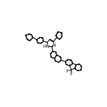 FC1(F)c2ccccc2-c2ccc(-c3ccc4ccc(C5=NC(c6ccccc6)=CC(c6ccc(-c7ccccc7)cc6)N5)cc4c3)cc21